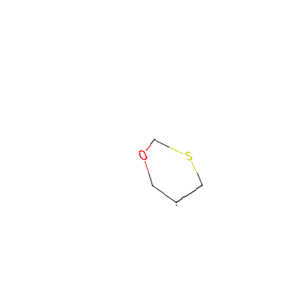 [CH]1COCSC1